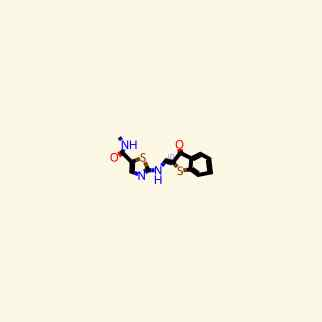 CNC(=O)c1cnc(N/C=C2\Sc3ccccc3C2=O)s1